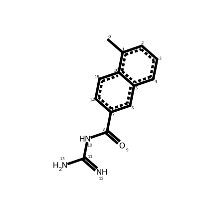 Cc1cccc2cc(C(=O)NC(=N)N)ccc12